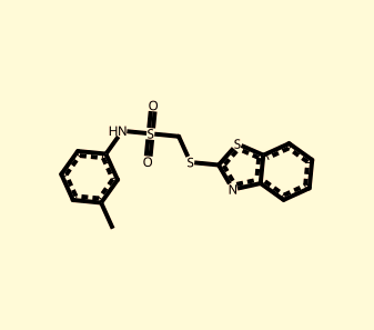 Cc1cccc(NS(=O)(=O)CSc2nc3ccccc3s2)c1